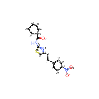 O=C(Nc1nc(C=Cc2ccc([N+](=O)[O-])cc2)cs1)c1ccccc1